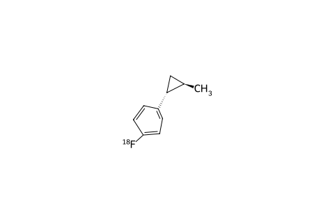 C[C@@H]1C[C@H]1c1ccc([18F])cc1